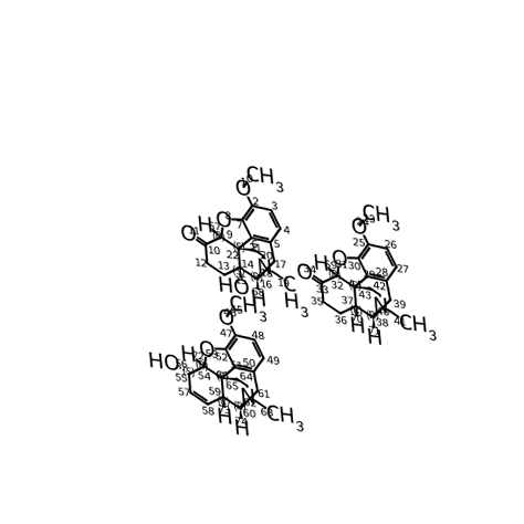 COc1ccc2c3c1O[C@H]1C(=O)CC[C@@]4(O)[C@@H](C2)N(C)CC[C@]314.COc1ccc2c3c1O[C@H]1C(=O)CC[C@H]4[C@@H](C2)N(C)CC[C@]314.COc1ccc2c3c1O[C@H]1[C@@H](O)C=C[C@H]4[C@@H](C2)N(C)CC[C@@]341